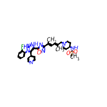 C/C(=C\C=C(/C)c1noc(C2=C(c3ccncc3)N(c3ccccc3F)NN2)n1)CN1CCC(NS(C)(=O)=O)CC1